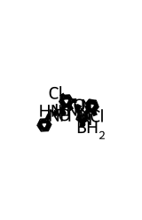 Bc1cc(C(=O)Nc2c(C)cc(Cl)cc2C(=O)NNCc2ccccc2)n(-c2ncccc2Cl)n1